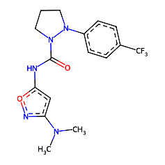 CN(C)c1cc(NC(=O)N2CCCN2c2ccc(C(F)(F)F)cc2)on1